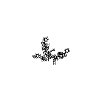 COc1ccnc(COP(=O)(O)/C=C/[C@H]2O[C@@H](n3cnc4c(NC(=O)c5ccccc5)ncnc43)[C@H](F)[C@@H]2OP(=O)(OCCC#N)OC[C@H]2O[C@@H](n3cnc4c(NC(=O)c5ccccc5)ncnc43)[C@H](F)[C@@H]2O)c1